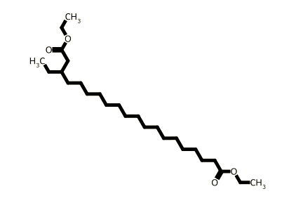 CCOC(=O)CCCCCCCCCCCCCCCCC(CC)CC(=O)OCC